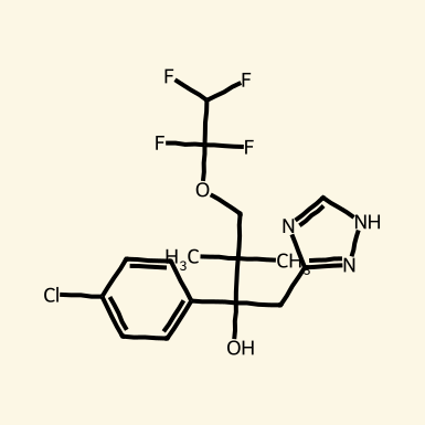 CC(C)(COC(F)(F)C(F)F)C(O)(Cc1nc[nH]n1)c1ccc(Cl)cc1